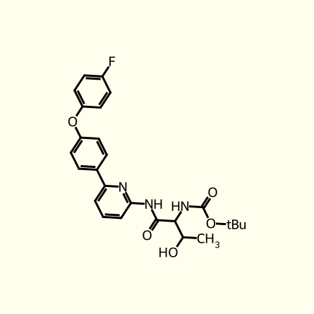 CC(O)C(NC(=O)OC(C)(C)C)C(=O)Nc1cccc(-c2ccc(Oc3ccc(F)cc3)cc2)n1